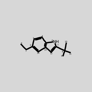 CCc1ccc2[nH]c(C(C)(C)C)cc2c1